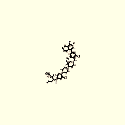 CCCC(Nc1ccc(N2CCN(C3CCN(Cc4c(Cl)cc(-c5cn(C)c(=O)c6cnccc56)cc4OC)CC3(F)F)CC2)c(Cl)c1)C(=O)NC=O